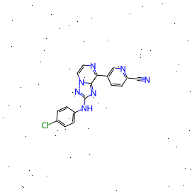 N#Cc1ccc(-c2nccn3nc(Nc4ccc(Cl)cc4)nc23)cn1